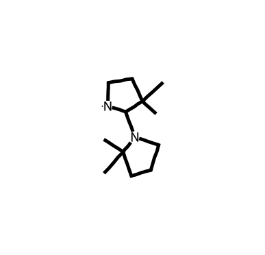 CC1(C)CC[N]C1N1CCCC1(C)C